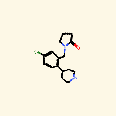 O=C1CCCN1Cc1cc(Cl)ccc1C1CCNCC1